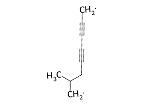 [CH2]C#CC#CCC([CH2])C